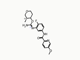 COc1ccc(C(=O)Nc2ccc(F)c(/N=C(/N)OC3CCOC[C@@H]3C)c2)nc1